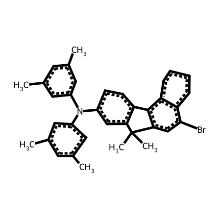 Cc1cc(C)cc(N(c2cc(C)cc(C)c2)c2ccc3c(c2)C(C)(C)c2cc(Br)c4ccccc4c2-3)c1